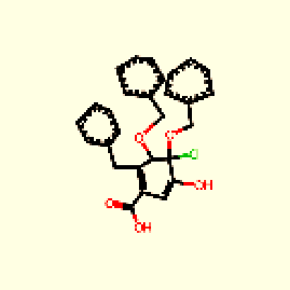 O=C(O)C1=C(Cc2ccccc2)C(OCc2ccccc2)C(Cl)(OCc2ccccc2)C(O)=C1